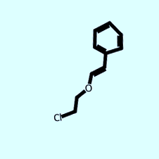 ClCCOC=Cc1ccccc1